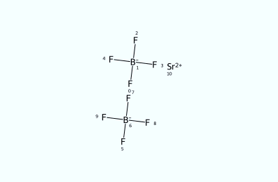 F[B-](F)(F)F.F[B-](F)(F)F.[Sr+2]